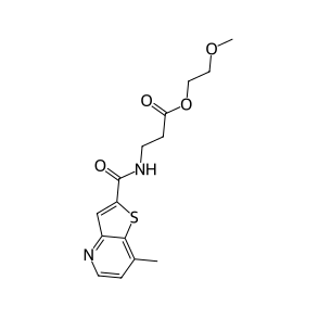 COCCOC(=O)CCNC(=O)c1cc2nccc(C)c2s1